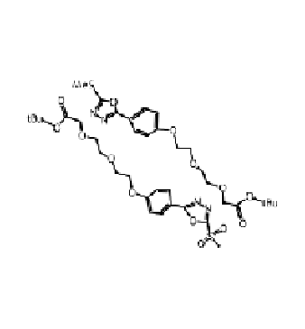 CC(C)(C)OC(=O)COCCOCCOc1ccc(-c2nnc(S(C)(=O)=O)o2)cc1.CSc1nnc(-c2ccc(OCCOCCOCC(=O)OC(C)(C)C)cc2)o1